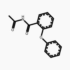 CC(=O)NC(=O)c1ccccc1Oc1ccccc1